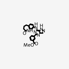 COC(=O)c1cccc(-c2nc(Nc3ccc4c(c3)NC(=O)CCC4)c3[nH]ncc3n2)c1